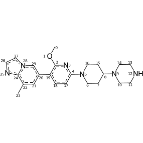 COc1nc(N2CCC(N3CCNCC3)CC2)ccc1-c1cc(C)c2nccn2c1